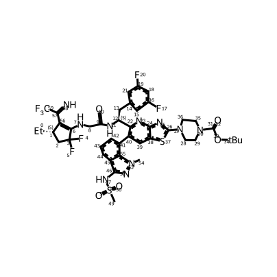 CC[C@H]1CC(F)(F)C(NCC(=O)N[C@@H](Cc2cc(F)cc(F)c2)c2nc3nc(N4CCN(C(=O)OC(C)(C)C)CC4)sc3cc2-c2cccc3c(NS(C)(=O)=O)nn(C)c23)=C1C(=N)C(F)(F)F